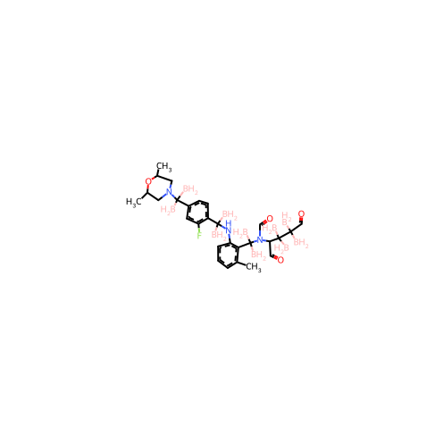 BC(B)(Nc1cccc(C)c1C(B)(B)N(C=O)C(C=O)C(B)(B)C(B)(B)C=O)c1ccc(C(B)(B)N2CC(C)OC(C)C2)cc1F